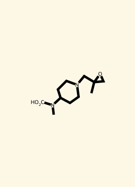 CN(C(=O)O)C1CCN(CC2(C)CO2)CC1